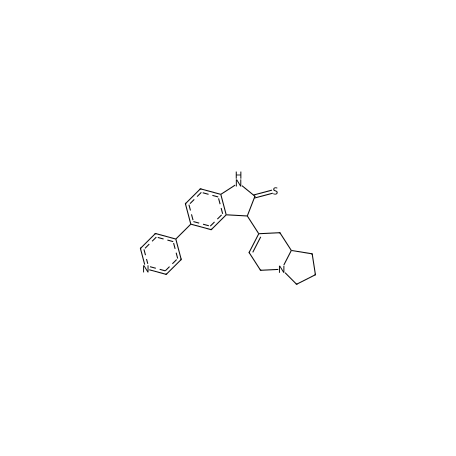 S=C1Nc2ccc(-c3ccncc3)cc2C1C1=CCN2CCCC2C1